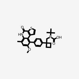 COc1cc(C)c2[nH]c(=O)c3sccc3c2c1-c1ccc(C2(CN(C(=O)O)C(C)(C)C)CCC2)cc1